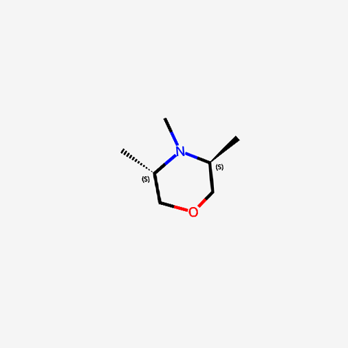 C[C@H]1COC[C@H](C)N1C